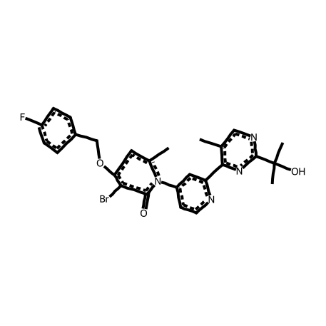 Cc1cnc(C(C)(C)O)nc1-c1cc(-n2c(C)cc(OCc3ccc(F)cc3)c(Br)c2=O)ccn1